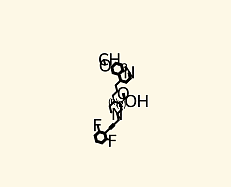 COc1ccc2nccc(CCC[C@@H]3CCN(CC#Cc4c(F)cccc4F)C[C@@H]3C(=O)O)c2c1